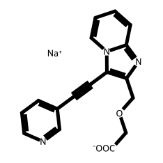 O=C([O-])COCc1nc2ccccn2c1C#Cc1cccnc1.[Na+]